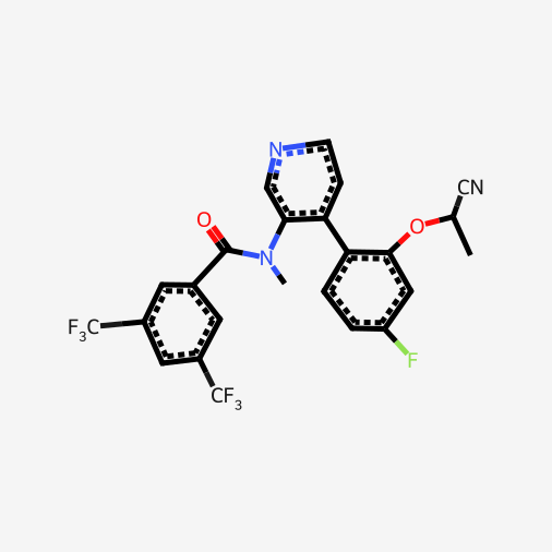 CC(C#N)Oc1cc(F)ccc1-c1ccncc1N(C)C(=O)c1cc(C(F)(F)F)cc(C(F)(F)F)c1